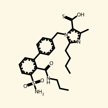 CCCCc1nc(C)c(C(O)=S)n1Cc1ccc(-c2cccc(S(N)(=O)=O)c2C(=O)NCCC)cc1